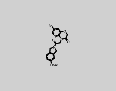 COc1ccc2c(c1)CN(C(=O)CN1C(=O)COc3cc(Br)cnc31)C2